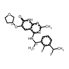 Cc1nc(N[C@H](C)c2cccc(C(C)F)c2F)c2cc(O[C@H]3CCOC3)c(=O)[nH]c2n1